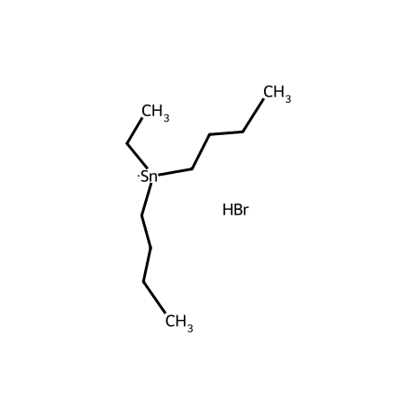 Br.CCC[CH2][Sn]([CH2]C)[CH2]CCC